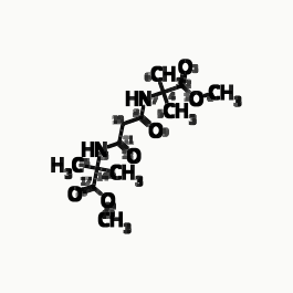 COC(=O)C(C)(C)NC(=O)CC(=O)NC(C)(C)C(=O)OC